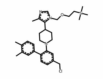 Cc1ccc(-c2ccc(CCl)cc2N2CCC(c3c(C)ncn3COCC[Si](C)(C)C)CC2)cc1C